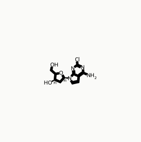 Nc1nc(Cl)nc2c1ccn2[C@H]1C[C@@H](O)C(CO)O1